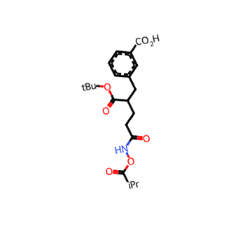 CC(C)C(=O)ONC(=O)CCC(Cc1cccc(C(=O)O)c1)C(=O)OC(C)(C)C